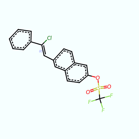 O=S(=O)(Oc1ccc2cc(/C=C(\Cl)c3ccccc3)ccc2c1)C(F)(F)F